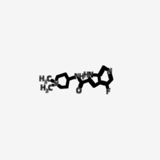 C[Si]1(C)CCC(NC(=O)c2cc3c(F)cncc3[nH]2)CC1